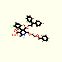 CC1=C(C(=O)O)C(c2cccc(Cl)c2)C(C(=O)OCCC(c2ccccc2)c2ccccc2)=C(COCCOCc2ccccc2)N1